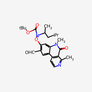 Cc1nccc2c1c(=O)n(C)c1cc(ON(C(=O)OC(C)(C)C)C(C)CC(C)C)c(C=O)cc21